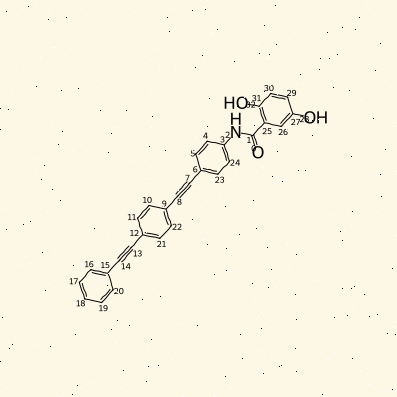 O=C(Nc1ccc(C#Cc2ccc(C#Cc3ccccc3)cc2)cc1)c1cc(O)ccc1O